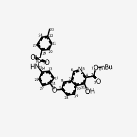 CCCCOC(=O)c1ncc2cc(Oc3ccc(NS(=O)(=O)c4ccc(C)cc4)cc3)ccc2c1O